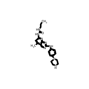 CCCNC(=O)Nc1cc(C)c2cnc(Nc3ccc(N4CCNCC4)cc3)nc2n1